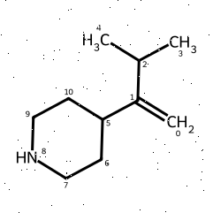 C=C(C(C)C)C1CCNCC1